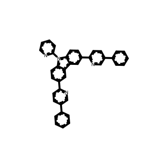 c1ccc(-c2ccc(-c3ccc4c(c3)c3cc(-c5ccc(-c6ccccc6)cn5)ccc3n4-c3ccccn3)nc2)cc1